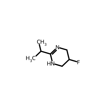 CC(C)C1=NCC(F)CN1